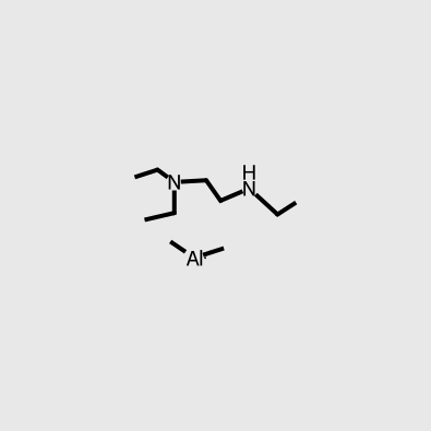 CCNCCN(CC)CC.[CH3][Al][CH3]